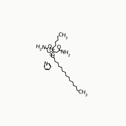 CCCCCCCCCCCCCCCC[SH](CC(N)=O)[SH](CCCCCC)CC(N)=O.c1ccncc1